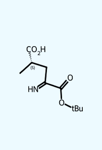 C[C@@H](CC(=N)C(=O)OC(C)(C)C)C(=O)O